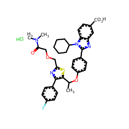 CC(Oc1ccc(-c2nc3cc(C(=O)O)ccc3n2C2CCCCC2)cc1)c1sc(COCC(=O)N(C)C)nc1-c1ccc(F)cc1.Cl